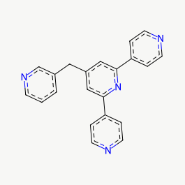 c1cncc(Cc2cc(-c3ccncc3)nc(-c3ccncc3)c2)c1